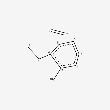 C=C.CCc1ccccc1C